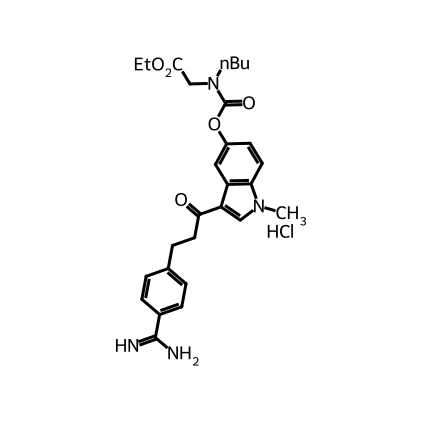 CCCCN(CC(=O)OCC)C(=O)Oc1ccc2c(c1)c(C(=O)CCc1ccc(C(=N)N)cc1)cn2C.Cl